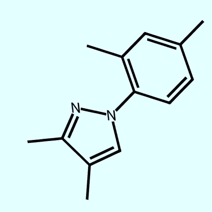 Cc1ccc(-n2cc(C)c(C)n2)c(C)c1